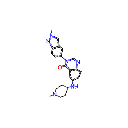 CN1CCC(Nc2ccc3ncn(-c4ccc5nn(C)cc5c4)c(=O)c3c2)CC1